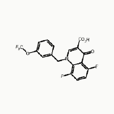 O=C(O)c1cn(Cc2cccc(OC(F)(F)F)c2)c2c(F)ccc(F)c2c1=O